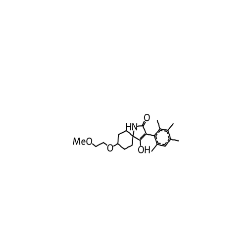 COCCOC1CCC2(CC1)NC(=O)C(c1c(C)cc(C)c(C)c1C)=C2O